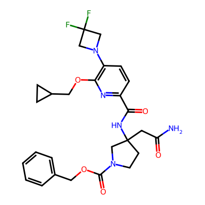 NC(=O)CC1(NC(=O)c2ccc(N3CC(F)(F)C3)c(OCC3CC3)n2)CCN(C(=O)OCc2ccccc2)C1